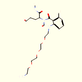 CNC(=O)C(CCC=O)N(C=O)C(=O)c1c(C)cccc1NCCOCCOCCOCCN